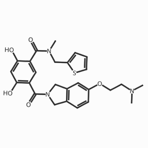 CN(C)CCOc1ccc2c(c1)CN(C(=O)c1cc(C(=O)N(C)Cc3cccs3)c(O)cc1O)C2